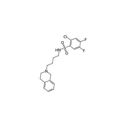 O=S(=O)(NCCCCN1CCc2ccccc2C1)c1cc(F)c(F)cc1Cl